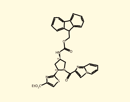 CCOC(=O)c1csc([C@H]2C[C@@H](NC(=O)OCC3c4ccccc4-c4ccccc43)CN2C(=O)c2cn3ccccc3n2)n1